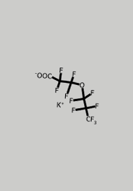 O=C([O-])C(F)(F)C(F)(F)OC(F)(F)C(F)(F)C(F)(F)F.[K+]